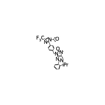 CC(C)c1ccccc1-c1ncc2c(n1)n(Cc1ccc(-c3nc(C(F)(F)F)cn3C3COC3)cc1)c(=O)n2C